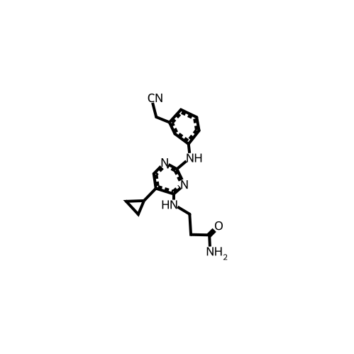 N#CCc1cccc(Nc2ncc(C3CC3)c(NCCC(N)=O)n2)c1